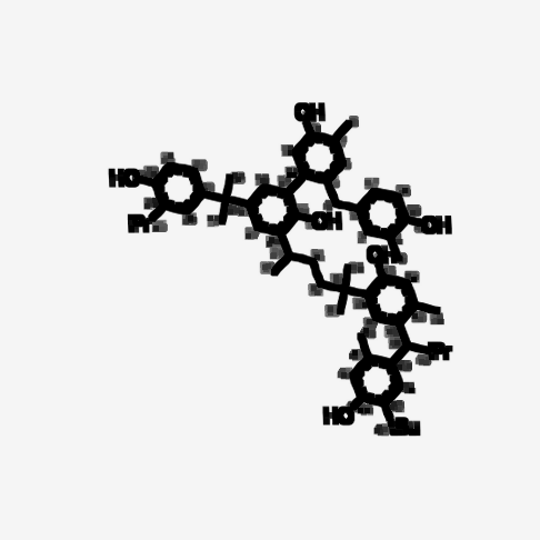 Cc1cc(Cc2cc(C)c(O)cc2-c2cc(C(C)(C)c3ccc(O)c(C(C)C)c3)cc(C(C)CCC(C)(C)c3cc(C(c4cc(C(C)(C)C)c(O)cc4C)C(C)C)c(C)cc3O)c2O)ccc1O